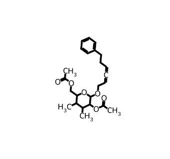 CC(=O)OCC1OC(OCC=C=CCCc2ccccc2)C(OC(C)=O)C(C)C1C